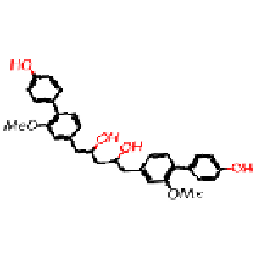 COc1cc(CC(O)CC(O)Cc2ccc(-c3ccc(O)cc3)c(OC)c2)ccc1-c1ccc(O)cc1